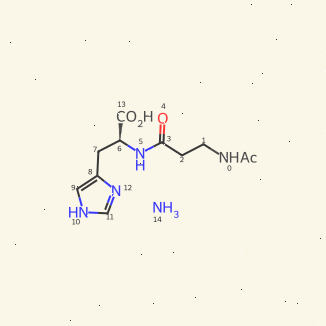 CC(=O)NCCC(=O)N[C@@H](Cc1c[nH]cn1)C(=O)O.N